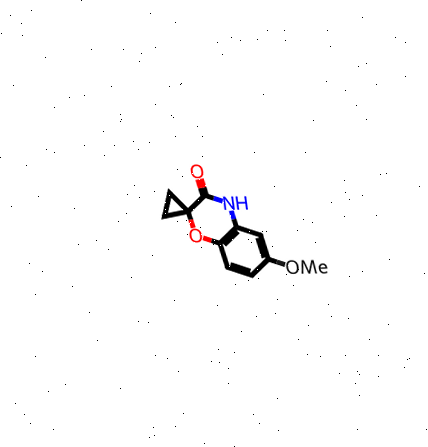 COc1ccc2c(c1)NC(=O)C1(CC1)O2